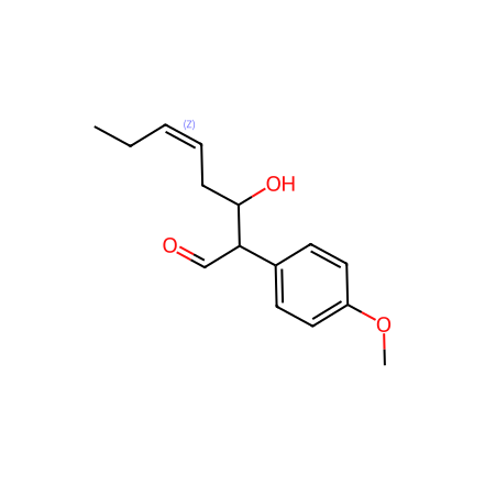 CC/C=C\CC(O)C(C=O)c1ccc(OC)cc1